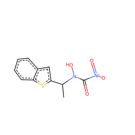 CC(c1cc2ccccc2s1)N(O)C(=O)[N+](=O)[O-]